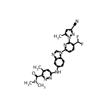 Cc1cc(Nc2ccc3c(c2)ncn3-c2ccc(C(F)F)c(-n3nc(C#N)cc3C)n2)nnc1C(=O)N(C)C